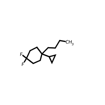 CCCCC1(C2CC2)CCC(F)(F)CC1